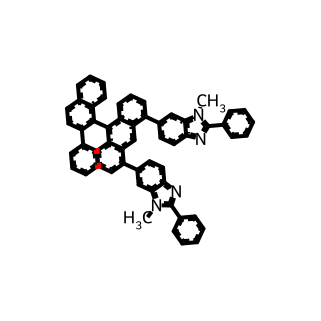 Cn1c(-c2ccccc2)nc2ccc(-c3cccc4c(-c5c(-c6ccccc6)ccc6ccccc56)c5cccc(-c6ccc7nc(-c8ccccc8)n(C)c7c6)c5cc34)cc21